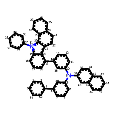 c1ccc(-c2cccc(N(c3cccc(-c4cccc5c4c4ccc6ccccc6c4n5-c4ccccc4)c3)c3ccc4ccccc4c3)c2)cc1